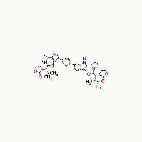 CC(C)[C@@H](C(=O)N1CCC[C@H]1c1ncc(-c2ccc(-c3ccc4nc([C@@H]5CCCN5C(=O)[C@H](C(C)C)N5CCOC5=O)[nH]c4c3)cc2)[nH]1)N1CCOC1=O